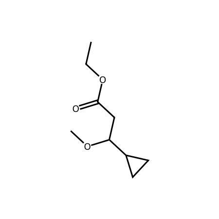 CCOC(=O)CC(OC)C1CC1